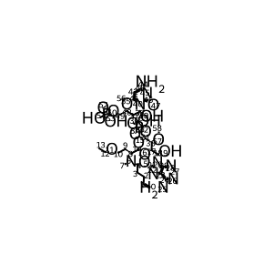 C=CCCC(=O)N(C)[C@@H](CCOCC)C(=O)O[C@@H]([C@@H](O)n1cnc2c(N)ncnc21)[C@@H](COP(=O)(O)O[C@@H]([C@@H](O)n1ccc(N)nc1=O)[C@@H](COP(=O)(O)O)OC)OC